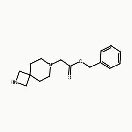 O=C(CN1CCC2(CC1)CNC2)OCc1ccccc1